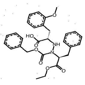 CCOC(=O)[C@H](Cc1ccccc1)N(N[C@@H](Cc1ccccc1OC)C(=O)O)C(=O)OCc1ccccc1